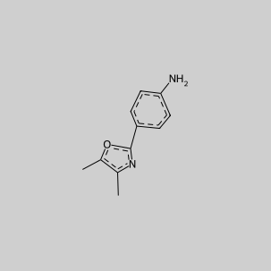 Cc1nc(-c2ccc(N)cc2)oc1C